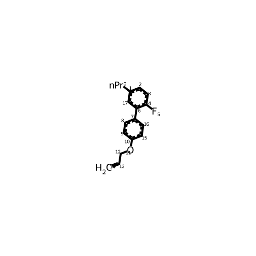 [CH2]CCc1ccc(F)c(-c2ccc(OCC=C)cc2)c1